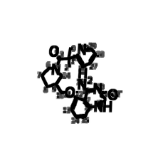 CC(C)(C(=O)N1CCCC(COc2cccc3c2C(N)=N[S+]([O-])N3)C1)c1ccccn1